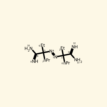 CCCC(CC)(N=NC(CC)(CCC)C(=N)N)C(=N)N